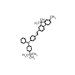 Cc1ccc2c(c1)C(C)(C)c1cc(/C=C/c3ccc(N(c4ccccc4)c4ccc([Si](C)(C)C)cc4)cc3)ccc1-2